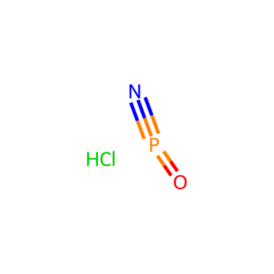 Cl.N#P=O